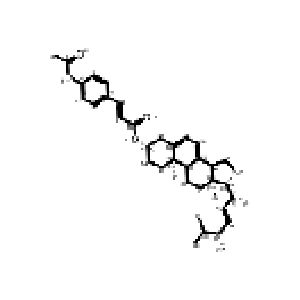 CC(=O)Oc1ccc(C=CC(=O)O[C@H]2CC[C@@]3(C)C(=CC=C4C3CC[C@@]3(C)C4CC[C@@H]3[C@H](C)C=C[C@H](C)C(C)C)C2)cc1